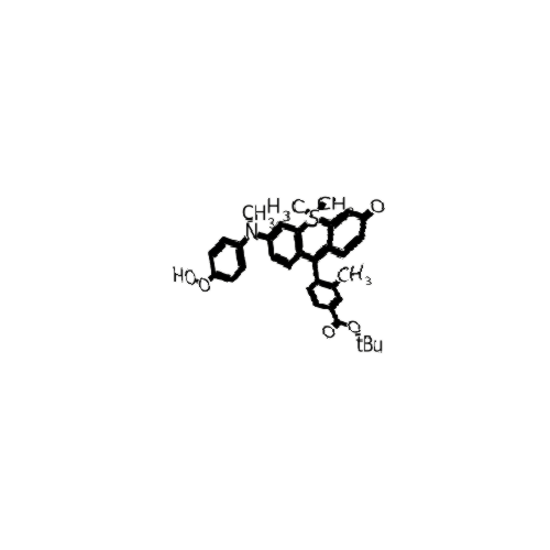 Cc1cc(C(=O)OC(C)(C)C)ccc1C1=C2C=CC(=O)C=C2S(C)(C)c2cc(N(C)c3ccc(OO)cc3)ccc21